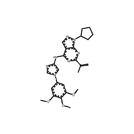 C=C(C)c1nc(Nc2cn(-c3cc(OC)c(OC)c(OC)c3)cn2)c2cnn(C3CCCC3)c2n1